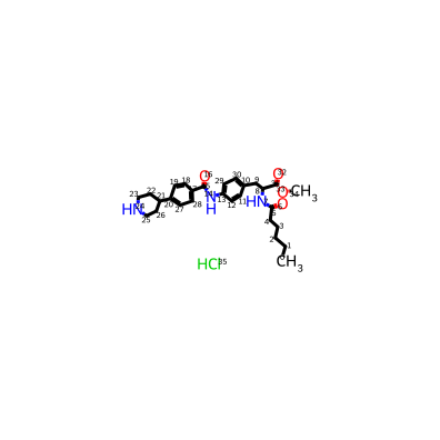 CCCCCC(=O)NC(Cc1ccc(NC(=O)c2ccc(C3CCNCC3)cc2)cc1)C(=O)OC.Cl